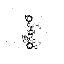 Cc1c(Cl)cccc1S(=O)(=O)Nc1nc([C@@H](C)Oc2cccnc2)ns1